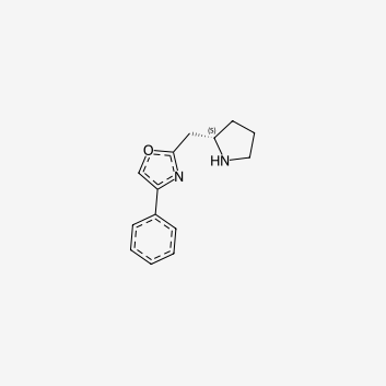 c1ccc(-c2coc(C[C@@H]3CCCN3)n2)cc1